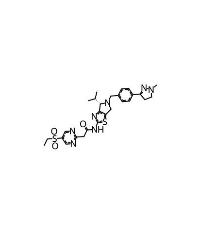 CCS(=O)(=O)c1cnc(CC(=O)Nc2nc3c(s2)CN(Cc2ccc(C4=NN(C)CC4)cc2)[C@H]3C(C)C)nc1